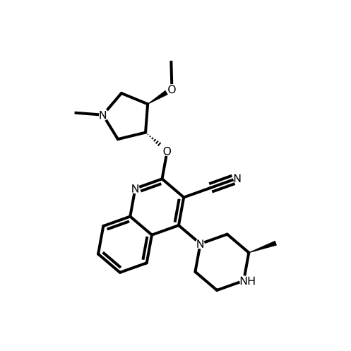 CO[C@@H]1CN(C)C[C@H]1Oc1nc2ccccc2c(N2CCN[C@H](C)C2)c1C#N